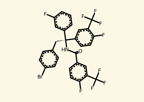 O=C(N[C@@](Cc1ccc(Br)cc1)(c1cccc(F)c1)c1ccc(F)c(C(F)(F)F)c1)c1ccc(F)c(C(F)(F)F)c1